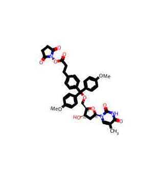 COc1ccc(C(OC[C@H]2O[C@@H](n3cc(C)c(=O)[nH]c3=O)C[C@@H]2O)(c2ccc(CCC(=O)ON3C(=O)CCC3=O)cc2)c2ccc(OC)cc2)cc1